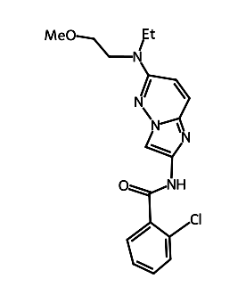 CCN(CCOC)c1ccc2nc(NC(=O)c3ccccc3Cl)cn2n1